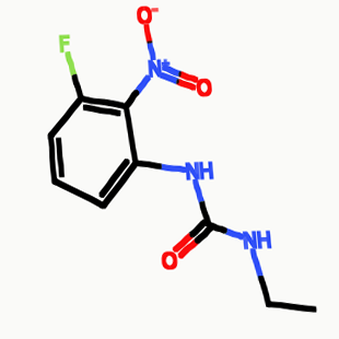 CCNC(=O)Nc1cccc(F)c1[N+](=O)[O-]